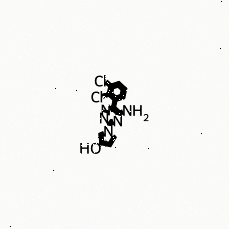 Nc1nc(N2CC[C@@H](O)C2)nnc1-c1cccc(Cl)c1Cl